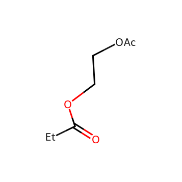 [CH2]CC(=O)OCCOC(C)=O